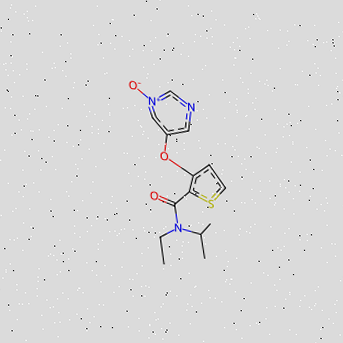 CCN(C(=O)c1sccc1Oc1cnc[n+]([O-])c1)C(C)C